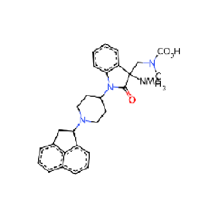 CNC1(CN(C)C(=O)O)C(=O)N(C2CCN(C3Cc4cccc5cccc3c45)CC2)c2ccccc21